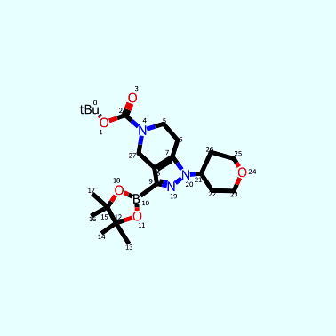 CC(C)(C)OC(=O)N1CCc2c(c(B3OC(C)(C)C(C)(C)O3)nn2C2CCOCC2)C1